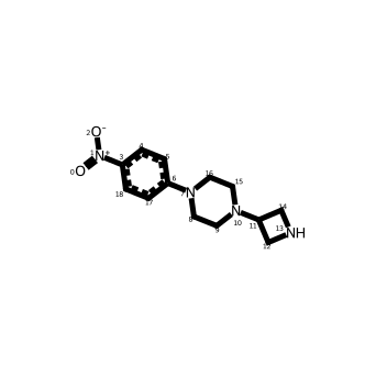 O=[N+]([O-])c1ccc(N2CCN(C3CNC3)CC2)cc1